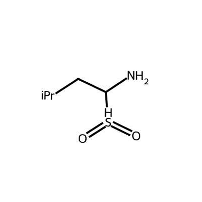 CC(C)CC(N)[SH](=O)=O